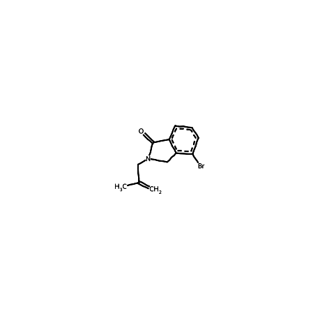 C=C(C)CN1Cc2c(Br)cccc2C1=O